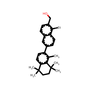 CCc1c(CO)ccc2cc(-c3ccc4c(c3C)C(C)(C)CCC4(C)C)ccc12